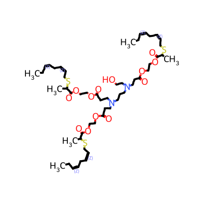 CC/C=C\C/C=C\CSC(C)C(=O)OCCOC(=O)CCN(CCO)CCCN(CCC(=O)OCCOC(=O)C(C)SC/C=C\C/C=C\CC)CCC(=O)OCCOC(=O)C(C)SC/C=C\C/C=C\CC